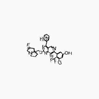 Oc1cc(Cl)c(C(F)(F)F)c(-c2ncc3c(N4CC5CCC4CN5)nc(OC[C@@]45CCCN4C[C@H](F)C5)nc3c2F)c1